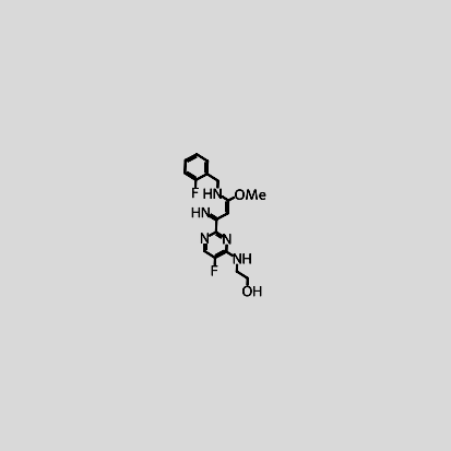 CO/C(=C/C(=N)c1ncc(F)c(NCCO)n1)NCc1ccccc1F